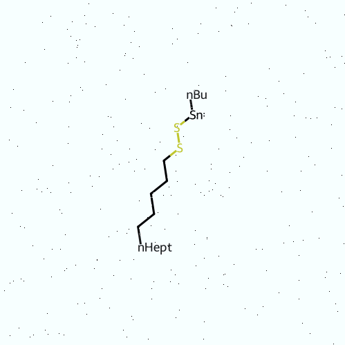 CCCCCCCCCCCCS[S][Sn][CH2]CCC